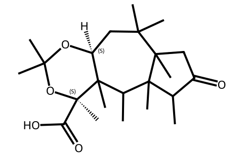 CC1C(=O)CC2(C)C(C)(C)C[C@@H]3OC(C)(C)O[C@](C)(C(=O)O)C3(C)C(C)C12C